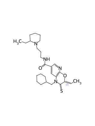 C/C=C1\Oc2ncc(C(=O)NCCCN3CCCCC3CC)cc2N(CC2CCCCC2)C1=S